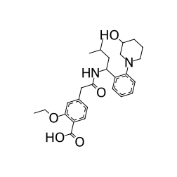 CCOc1cc(CC(=O)NC(CC(C)C)c2ccccc2N2CCCC(O)C2)ccc1C(=O)O